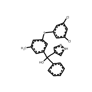 Cc1cc(Sc2cc(Cl)cc(Cl)c2)cc(C(O)(c2ccccc2)c2cn[nH]c2)c1